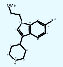 COCCn1cc(C2CCNCC2)c2ccc(F)cc21